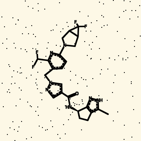 Cc1[nH]nc2c1CC[C@H]2NC(=O)c1cnn(Cc2ccc(N3CC4C(C3)C4(F)F)nc2C(F)F)c1